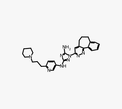 Nc1nc(Nc2ccc(CCCN3CCCCC3)nc2)nn1-c1cc2c(nn1)-c1ccccc1CCC2